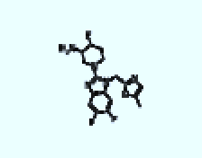 Cc1cnc(Cn2c(N3CCC(F)[C@H](N)C3)nc3cc(F)c(F)cc32)o1